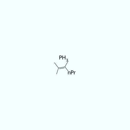 CCCC(C)=C(C)C.P